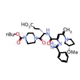 C=C(/C=C(\N=C(/N)c1ccccc1)C(=O)N[C@@H](CCC(=O)O)C(=O)N1CCN(C(=O)OCCCC)CC1)N1CC[C@H](OC)C1